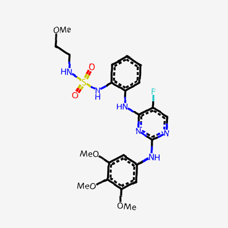 COCCNS(=O)(=O)Nc1ccccc1Nc1nc(Nc2cc(OC)c(OC)c(OC)c2)ncc1F